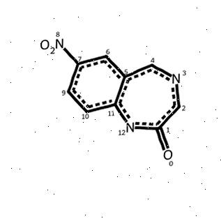 O=c1cncc2cc([N+](=O)[O-])ccc2n1